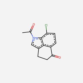 CC(=O)n1cc2c3c(ccc(Cl)c31)C(=O)CC2